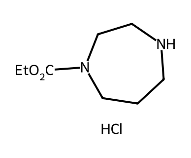 CCOC(=O)N1CCCNCC1.Cl